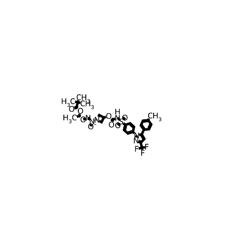 Cc1ccc(-c2cc(C(F)(F)F)nn2-c2ccc(S(=O)(=O)NC(=O)OC3CN(/[N+]([O-])=N/OC(C)OC(=O)C(C)(C)C)C3)cc2)cc1